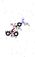 CNc1ccc(C(C)(C)OCCC(C)(C)[PH](C)(c2ccccc2)c2ccccc2)cc1